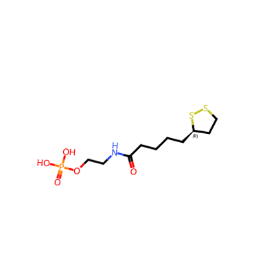 O=C(CCCC[C@@H]1CCSS1)NCCOP(=O)(O)O